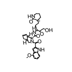 COc1cccc2[nH]c(C(=O)N3C[C@@H]4CC=C[C@@H]4[C@H]3C(=O)N[C@@H](CC[C@@H]3CCCNC3=O)C(=O)CO)cc12